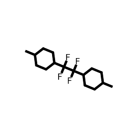 CC1CCC(C(F)(F)C(F)(F)C2CCC(C)CC2)CC1